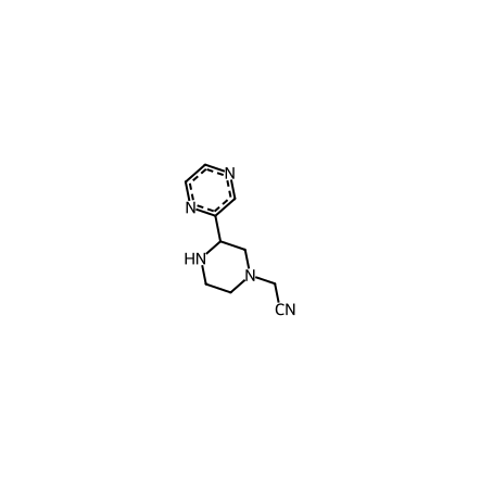 N#CCN1CCNC(c2cnccn2)C1